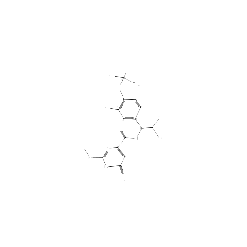 CNc1nc(C(=O)NC(c2ccc(SC(F)(F)F)c(F)c2)C(C)C)cc(=O)[nH]1